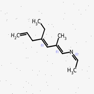 C=CC/C(=C/C(C)=C/N=C\C)CC